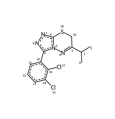 CC(C)C1=Nn2c(nnc2-c2cccc(Cl)c2Cl)SC1